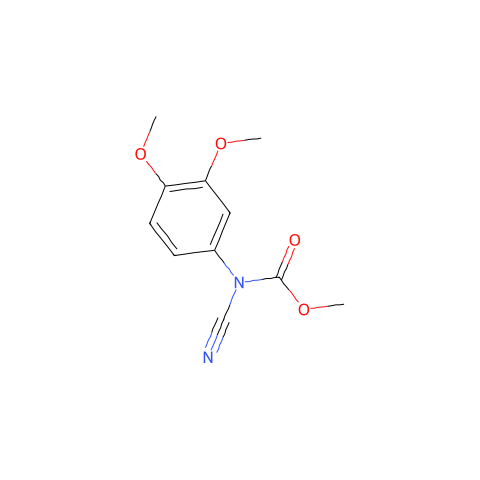 COC(=O)N(C#N)c1ccc(OC)c(OC)c1